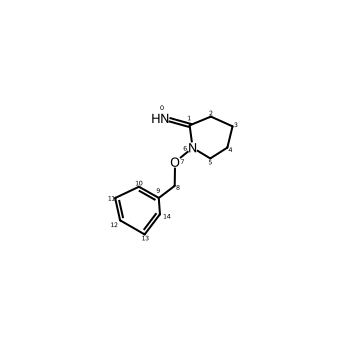 N=C1CCCCN1OCc1ccccc1